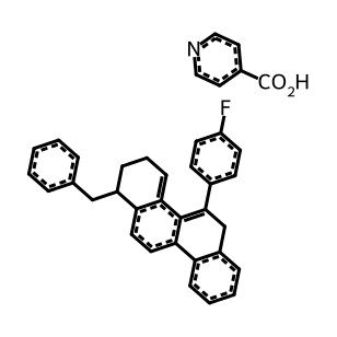 Fc1ccc(C2=c3c(ccc4c3=CCCC4Cc3ccccc3)-c3ccccc3C2)cc1.O=C(O)c1ccncc1